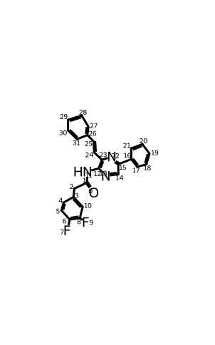 O=C(Cc1ccc(F)c(F)c1)Nc1ncc(-c2ccccc2)nc1/C=C/c1ccccc1